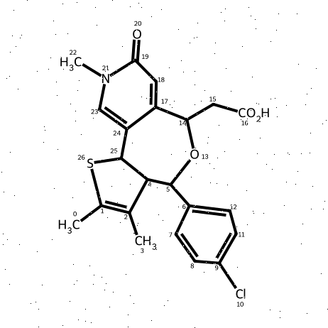 CC1=C(C)C2C(c3ccc(Cl)cc3)OC(CC(=O)O)c3cc(=O)n(C)cc3C2S1